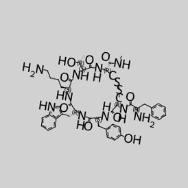 CNC(=O)[C@@H]1CSSC[C@H](NC(=O)[C@H](N)Cc2ccccc2)C(=O)N[C@@H](Cc2ccc(O)cc2)C(=O)N[C@H](Cc2c[nH]c3ccccc23)C(=O)N[C@@H](CCCCN)C(=O)N[C@@H]([C@@H](C)O)C(=O)N1